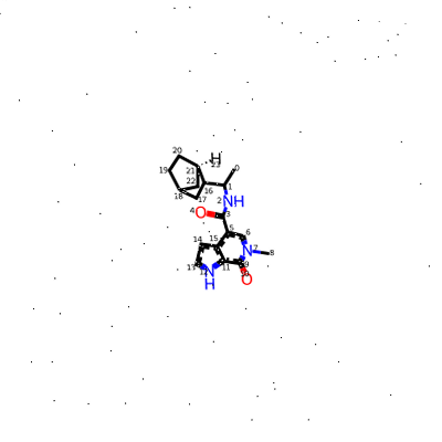 CC(NC(=O)c1cn(C)c(=O)c2[nH]ccc12)C1CC2CC[C@@H]1C2